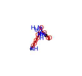 CC(C)NCCOCCOCCOCCOCCC(=O)N[C@@H](C(=O)N[C@@H](CCCNC(N)=O)C(=O)Nc1ccc(COC(=O)C(C)C)cc1)C(C)C